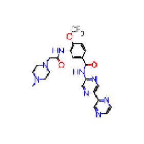 CN1CCN(CC(=O)Nc2cc(C(=O)Nc3cnc(-c4cnccn4)cn3)ccc2OC(F)(F)F)CC1